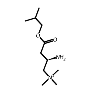 CC(C)COC(=O)C[C@@H](N)C[N+](C)(C)C